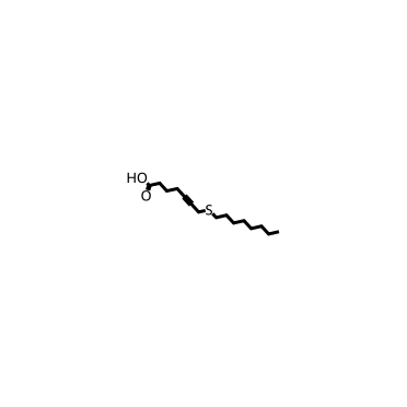 CCCCCCCCSCC#CCCCC(=O)O